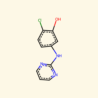 Oc1cc(Nc2ncccn2)ccc1Cl